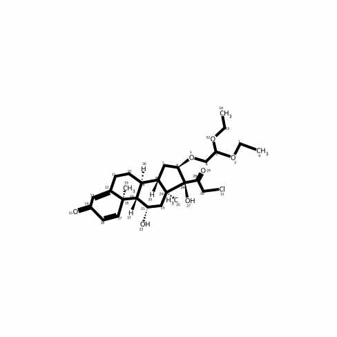 CCOC(CO[C@@H]1C[C@H]2[C@@H]3CCC4=CC(=O)C=C[C@]4(C)[C@H]3[C@@H](O)C[C@]2(C)[C@@]1(O)C(=O)CCl)OCC